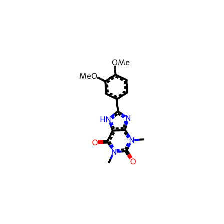 COc1ccc(-c2nc3c([nH]2)c(=O)n(C)c(=O)n3C)cc1OC